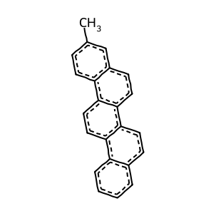 Cc1ccc2c(ccc3c2ccc2c4ccccc4ccc23)c1